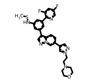 CSNc1cc(-c2ncc(F)cc2F)cc(-c2cnn3cc(-c4cnn(CCN5CCOCC5)c4)ccc23)c1